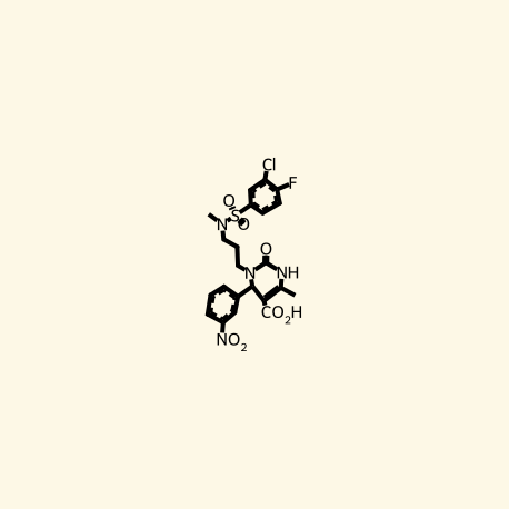 CC1=C(C(=O)O)C(c2cccc([N+](=O)[O-])c2)N(CCCN(C)S(=O)(=O)c2ccc(F)c(Cl)c2)C(=O)N1